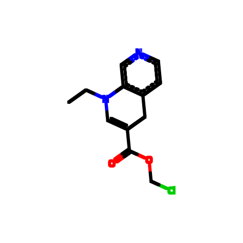 CCN1C=C(C(=O)OCCl)Cc2ccncc21